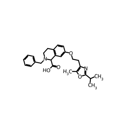 Cc1oc(C(C)C)nc1CCOc1ccc2c(c1)C(C(=O)O)N(Cc1ccccc1)CC2